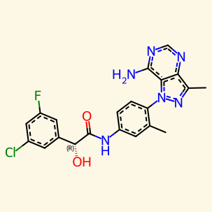 Cc1cc(NC(=O)[C@H](O)c2cc(F)cc(Cl)c2)ccc1-n1nc(C)c2ncnc(N)c21